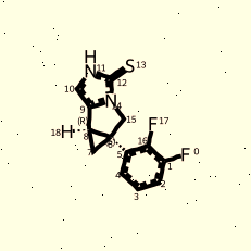 Fc1cccc([C@]23C[C@H]2c2c[nH]c(=S)n2C3)c1F